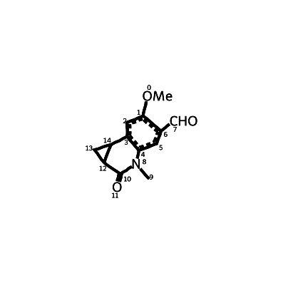 COc1cc2c(cc1C=O)N(C)C(=O)C1CC21